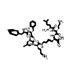 CC(C)CC[C@@H](N)C(=O)N[C@H](CCCN)C(=O)N[C@H](CCCCNC(=O)[C@@H](CCCN)NC(=O)[C@@H](CC(C)C)NC(=O)[C@@H](Cc1ccccc1)NC(=O)[C@H](N)Cc1ccccc1)C(=O)O